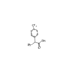 CC(C)C(C(=O)S)c1ccc(C(F)(F)F)cc1